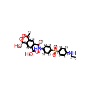 CCNc1ccc(S(=O)(=O)c2ccc(NC(=O)c3cc(C(C)=O)c(C(=O)O)cc3C(=O)O)cc2)cc1